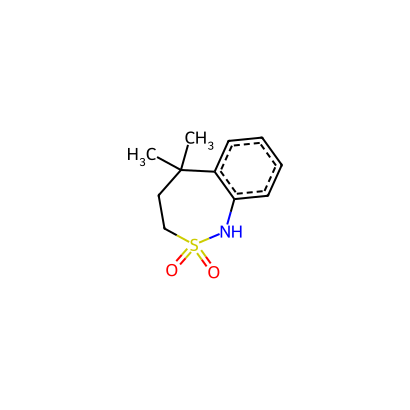 CC1(C)CCS(=O)(=O)Nc2ccccc21